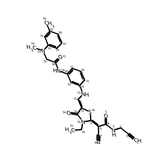 C#CCNC(=O)C(C#N)=c1sc(=CNc2cccc(NC(=O)CN(C)c3cccc(C)c3)c2)c(=O)n1CC